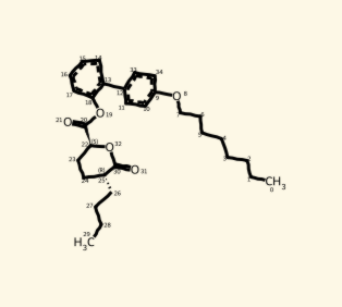 CCCCCCCCOc1ccc(-c2ccccc2OC(=O)[C@@H]2CC[C@@H](CCCC)C(=O)O2)cc1